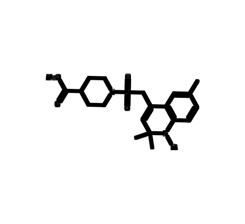 CCN1c2ccc(C)cc2C(CS(=O)(=O)N2CCC(C(=O)OC)CC2)=CC1(C)C